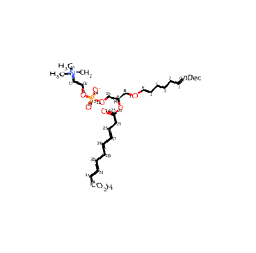 CCCCCCCCCCCCCCCCOC[C@H](COP(=O)([O-])OCC[N+](C)(C)C)OC(=O)CCCCCCCCC(=O)O